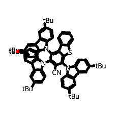 CC(C)(C)c1ccc2c(c1)c1cc(C(C)(C)C)ccc1n2-c1c(C#N)c(-n2c3ccc(C(C)(C)C)cc3c3cc(C(C)(C)C)ccc32)c2sc3ccccc3c2c1-n1c2ccc(C(C)(C)C)cc2c2cc(C(C)(C)C)ccc21